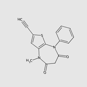 C#Cc1cc2c(s1)N(c1ccccc1)C(=O)CC(=O)N2C